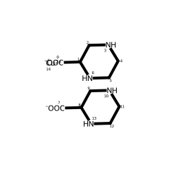 O=C([O-])C1CNCCN1.O=C([O-])C1CNCCN1.[Cu+2]